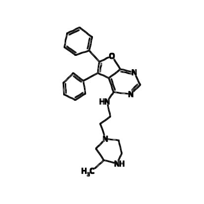 CC1CN(CCNc2ncnc3oc(-c4ccccc4)c(-c4ccccc4)c23)CCN1